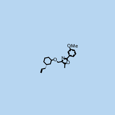 C=CC[C@@H]1CCCC(OCc2nc(-c3cccc(OC)c3)oc2C)C1